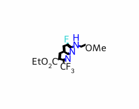 CCOC(=O)c1cc2cc(F)c(NCCOC)nc2nc1C(F)(F)F